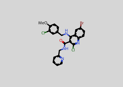 COc1ccc(CNc2c(C(=O)NCc3ccccn3)c(Cl)nc3ccc(Br)cc23)cc1Cl